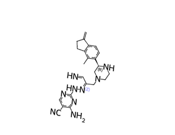 C=C1CCc2c1ccc([C@@H]1CN(C/C(C=N)=N/Nc3ncc(C#N)c(N)n3)CCN1)c2C